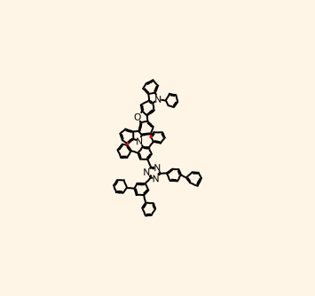 C1=CCC(c2cc(-c3ccccc3)cc(-c3nc(-c4ccc(-c5ccccc5)cc4)nc(-c4cc(-c5ccccc5)c(-n5c6ccccc6c6c7oc8cc9c%10ccccc%10n(C%10C=CC=CC%10)c9cc8c7ccc65)c(-c5ccccc5)c4)n3)c2)C=C1